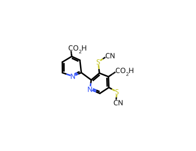 N#CSc1cnc(-c2cc(C(=O)O)ccn2)c(SC#N)c1C(=O)O